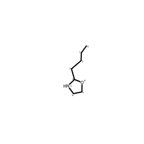 CCC[CH]C1NCCO1